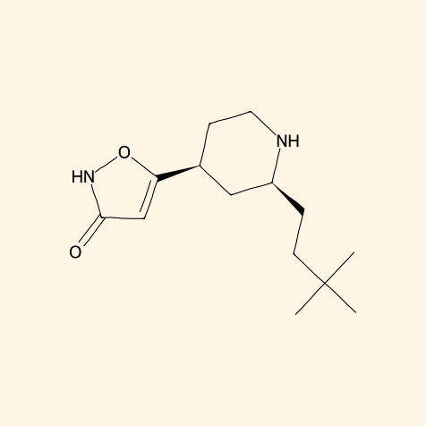 CC(C)(C)CC[C@H]1C[C@@H](c2cc(=O)[nH]o2)CCN1